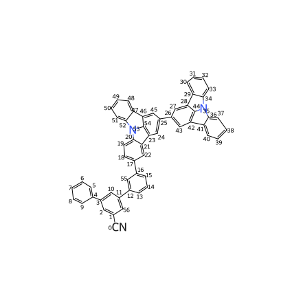 N#Cc1cc(-c2ccccc2)cc(-c2cccc(-c3ccc4c(c3)c3cc(-c5cc6c7ccccc7n7c8ccccc8c(c5)c67)cc5c6ccccc6n4c53)c2)c1